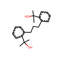 CC(C)(O)c1ccccc1CCCc1ccccc1C(C)(C)O